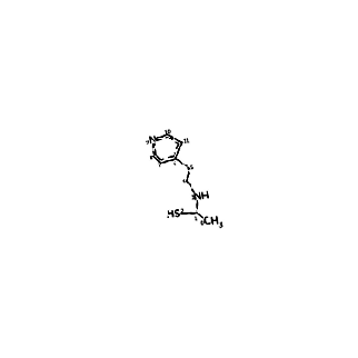 CC(S)NCCc1ccncc1